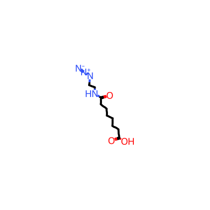 [N-]=[N+]=NCCNC(=O)CCCCCCC(=O)O